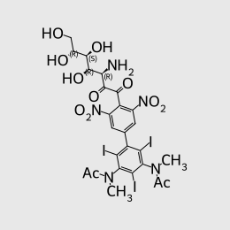 CC(=O)N(C)c1c(I)c(-c2cc([N+](=O)[O-])c(C(=O)C(=O)[C@H](N)[C@@H](O)[C@H](O)[C@H](O)CO)c([N+](=O)[O-])c2)c(I)c(N(C)C(C)=O)c1I